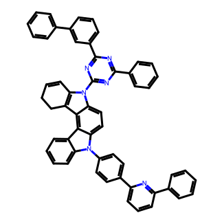 C1=Cc2c(c3c4c5ccccc5n(-c5ccc(-c6cccc(-c7ccccc7)n6)cc5)c4ccc3n2-c2nc(-c3ccccc3)nc(-c3cccc(-c4ccccc4)c3)n2)CC1